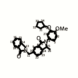 COc1ccc(N2C(=O)c3cc(CN4Cc5ccccc5C4=O)ccc3C2C)cc1OC1CCCC1